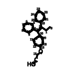 CC/C(=C(/c1ccccc1)c1ccc(OCCO)cc1)c1ccccc1